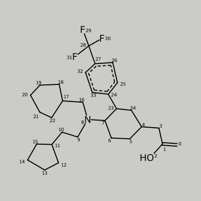 C=C(O)CC1CCC(N(CCC2CCCC2)CC2CCCCC2)C(c2ccc(C(F)(F)F)cc2)C1